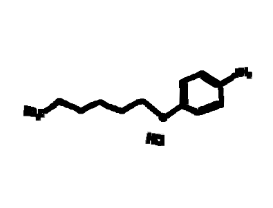 Cl.Nc1ccc(OCCCCCC(=O)O)cc1